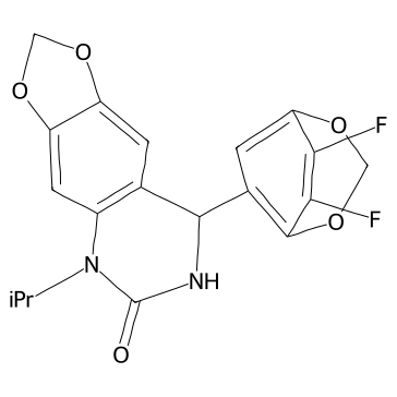 CC(C)N1C(=O)NC(c2cc3c(F)c(F)c2OCO3)c2cc3c(cc21)OCO3